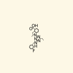 CCc1nc(NCc2cccc(F)c2)nc(N2c3cccc(C(=O)O)c3CC2C)n1